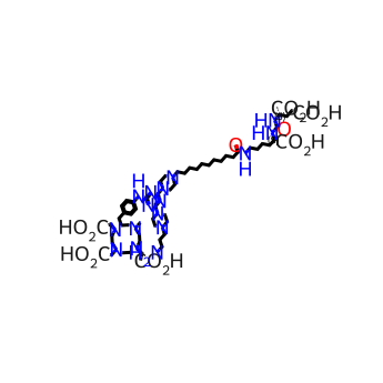 CN1CCN(CC(=O)O)CCN(CC(=O)O)CCN(CC(=O)O)C(Cc2ccc(Nc3nc(N4CCN(CCCN)CC4)nc(N4CCN(CCCCCCCCCCC(=O)NCCCC[C@H](NC(=O)N[C@@H](CCC(=O)O)C(=O)O)C(=O)O)CC4)n3)cc2)C1